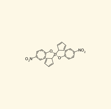 O=[N+]([O-])c1ccc([O][Zr]([O]c2ccc([N+](=O)[O-])cc2)([CH]2C=CC=C2)[CH]2C=CC=C2)cc1